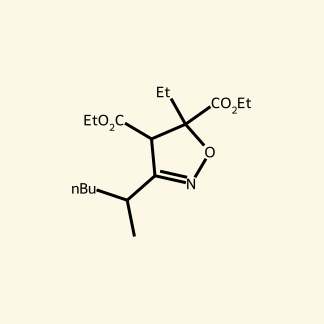 CCCCC(C)C1=NOC(CC)(C(=O)OCC)C1C(=O)OCC